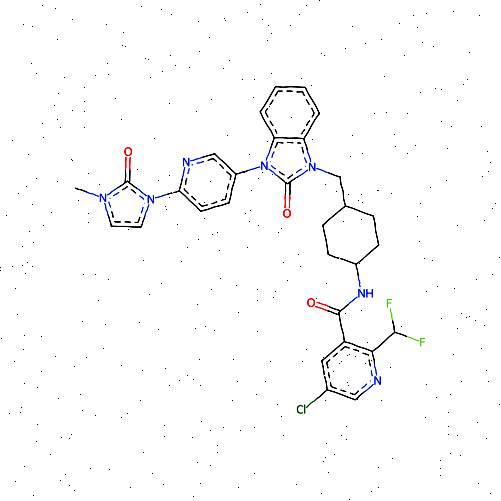 Cn1ccn(-c2ccc(-n3c(=O)n(CC4CCC(NC(=O)c5cc(Cl)cnc5C(F)F)CC4)c4ccccc43)cn2)c1=O